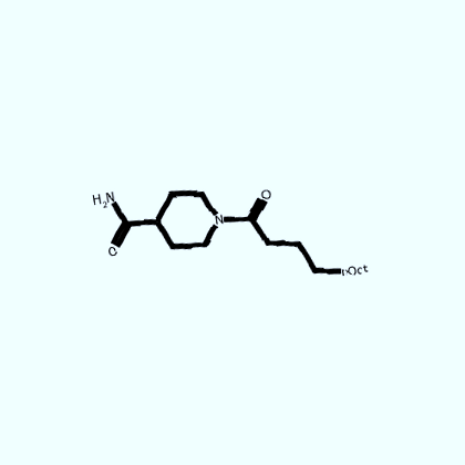 CCCCCCCCCCCC(=O)N1CCC(C(N)=O)CC1